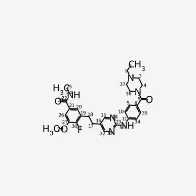 CCN1CCN(C(=O)c2ccc(Nc3ncc(CCc4cc(C(=O)NC)cc(OC)c4F)cn3)cc2)CC1